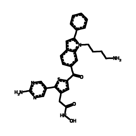 NCCCCn1c(-c2ccccc2)cc2ccc(C(=O)c3cc(CC(=O)NO)c(-c4cnc(N)nc4)s3)cc21